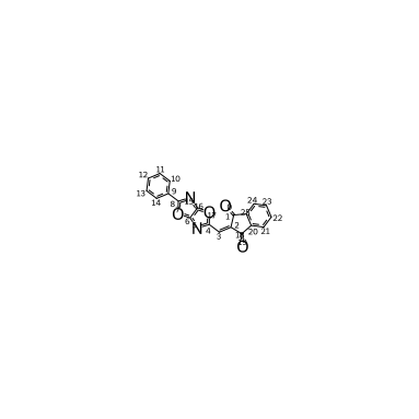 O=C1C(=Cc2nc3oc(-c4ccccc4)nc3o2)C(=O)c2ccccc21